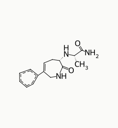 C[C@H](N[C@H]1CC=C(c2ccccc2)CNC1=O)C(N)=O